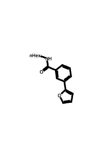 CCCCCCNC(=O)c1cccc(-c2ccco2)c1